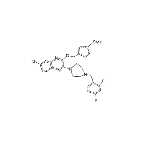 COc1ccc(COc2nc3cc(Cl)ncc3nc2N2CCN(Cc3ccc(F)cc3F)CC2)cc1